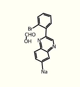 O=CO.[Na][c]1ccc2nc(-c3ccccc3Br)cnc2c1